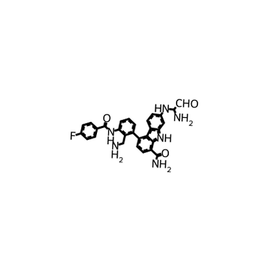 NCc1c(NC(=O)c2ccc(F)cc2)cccc1-c1ccc(C(N)=O)c2[nH]c3cc(NC(N)C=O)ccc3c12